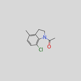 CC(=O)N1CCc2c(C)ccc(Cl)c21